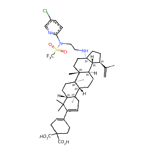 C=C(C)[C@@H]1CC[C@]2(NCCN(c3ccc(Cl)cn3)S(=O)(=O)C(F)(F)F)CC[C@]3(C)[C@H](CC[C@@H]4[C@@]5(C)CC=C(C6=CCC(C(=O)O)(C(=O)O)CC6)C(C)(C)[C@@H]5CC[C@]43C)[C@@H]12